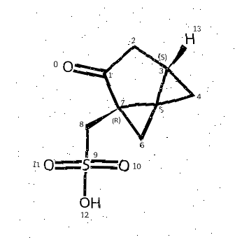 O=C1C[C@@H]2CC23C[C@]13CS(=O)(=O)O